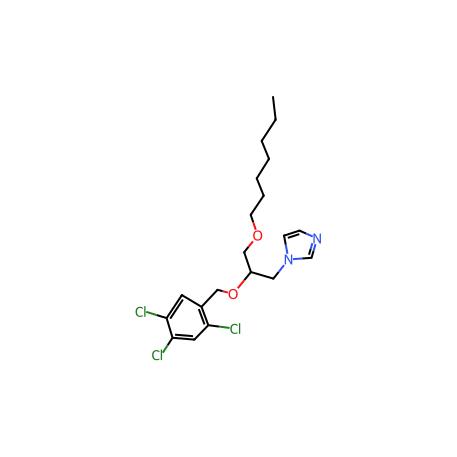 CCCCCCCOCC(Cn1ccnc1)OCc1cc(Cl)c(Cl)cc1Cl